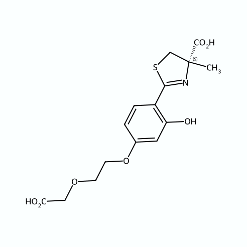 C[C@]1(C(=O)O)CSC(c2ccc(OCCOCC(=O)O)cc2O)=N1